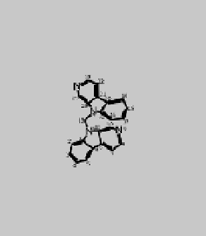 c1ccc2c(c1)c1ccncc1n2Cn1c2ccccc2c2ccncc21